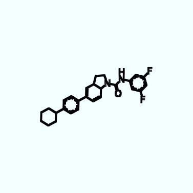 O=C(Nc1cc(F)cc(F)c1)N1CCC2C=C(c3ccc(C4CCCCC4)cc3)C=CC21